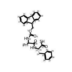 CC(C)C(NC(=O)OCC1c2ccccc2-c2ccccc21)C(=O)N[C@@H](Cc1ccccc1)C(=O)S